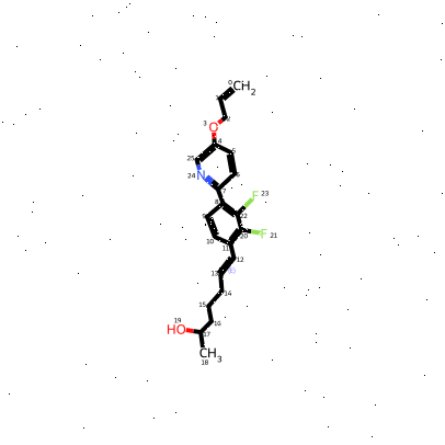 C=CCOc1ccc(-c2ccc(/C=C/CCCC(C)O)c(F)c2F)nc1